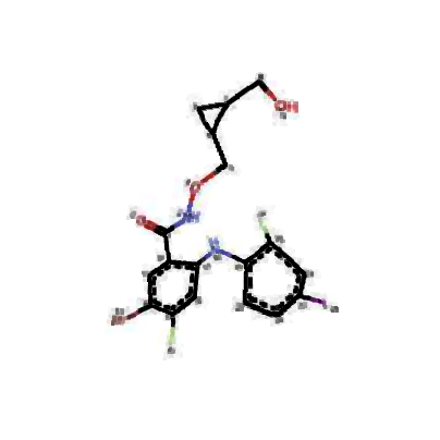 O=C(NOCC1CC1CO)c1cc(Br)c(F)cc1Nc1ccc(I)cc1F